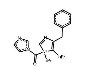 CCCC1=C(Cc2ccccc2)N=C[N+]1(C(=O)n1ccnc1)C(C)C